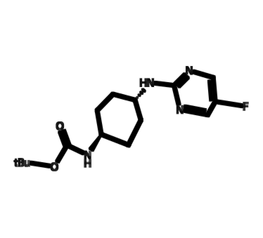 CC(C)(C)OC(=O)N[C@H]1CC[C@H](Nc2ncc(F)cn2)CC1